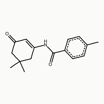 Cc1ccc(C(=O)NC2=CC(=O)CC(C)(C)C2)cc1